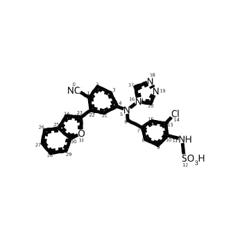 N#Cc1ccc(N(Cc2ccc(NS(=O)(=O)O)c(Cl)c2)n2cnnc2)cc1-c1cc2ccccc2o1